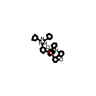 c1ccc(-c2nc(-c3ccccc3)nc(-c3cccc4c3oc3ccc(-c5cccc6oc7cccc(-n8c9ccccc9c9ccccc98)c7c56)cc34)n2)cc1